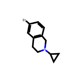 CCc1ccc2c(c1)CCN(C1CC1)C2